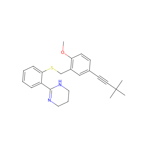 COc1ccc(C#CC(C)(C)C)cc1CSc1ccccc1C1=NCCCN1